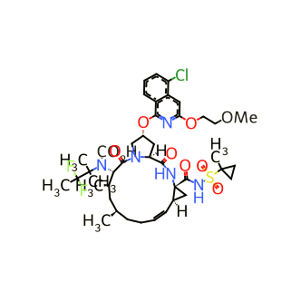 COCCOc1cc2c(Cl)cccc2c(O[C@@H]2C[C@H]3C(=O)N[C@]4(C(=O)NS(=O)(=O)C5(C)CC5)C[C@H]4C=CCC[C@@H](C)C[C@@H](C)[C@H](N(C(=O)O)C(C)(C)C(C)(F)F)C(=O)N3C2)n1